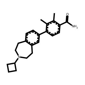 Cc1c(C(N)=O)ccc(-c2ccc3c(c2)CCN(C2CCC2)CC3)c1C